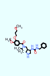 COCCCOc1cc(C(=O)N(CC2CNCC2NC(=O)NCc2ccccc2)C(C)C)ccc1OC